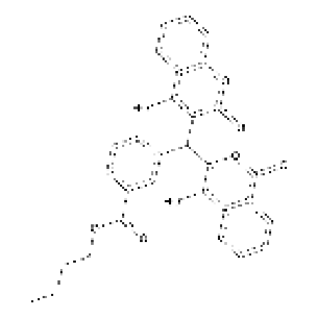 CCCCOC(=O)c1cccc(C(c2oc(=O)c3ccccc3c2O)c2c(O)c3ccccc3oc2=O)c1